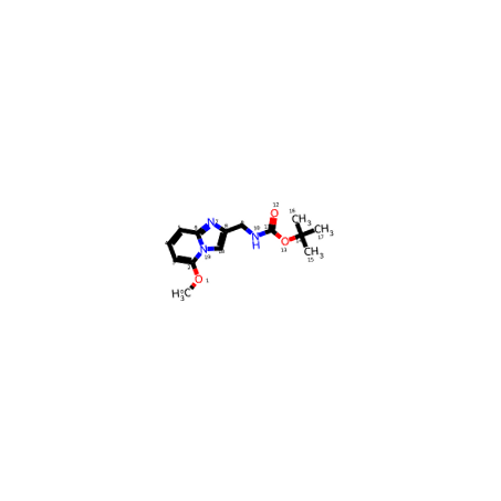 COc1cccc2nc(CNC(=O)OC(C)(C)C)cn12